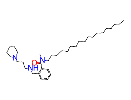 CCCCCCCCCCCCCCCCCCN(C)C(=O)c1ccccc1CNCCCN1CCCCC1